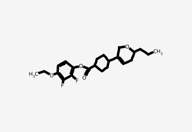 CCCC1CC=C(C2CCC(C(=O)Oc3ccc(OCC)c(F)c3F)CC2)CO1